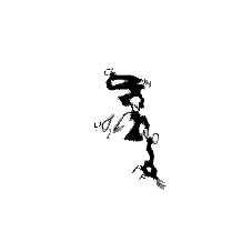 O=C(O)C(C1CCN(C(=O)C=Cc2cc(F)c(F)c(F)c2)CC1)N1CCC(c2c[nH]c3cc(Cl)ccc23)CC1